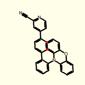 N#Cc1cc(-c2ccc(-c3ccccc3N3c4ccccc4Oc4ccccc43)cc2)ccn1